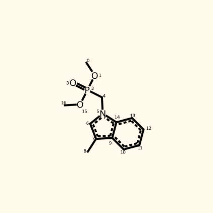 COP(=O)(Cn1cc(C)c2ccccc21)OC